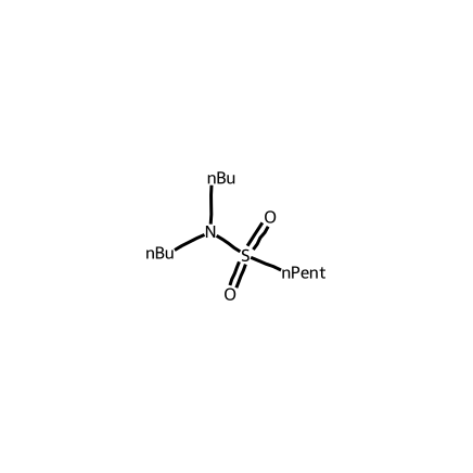 CCCCCS(=O)(=O)N(CCCC)CCCC